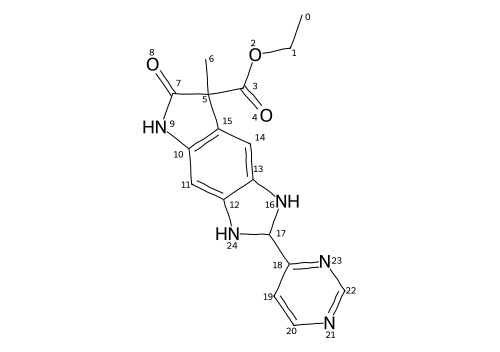 CCOC(=O)C1(C)C(=O)Nc2cc3c(cc21)NC(c1ccncn1)N3